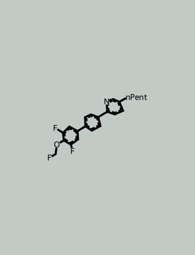 CCCCCc1ccc(-c2ccc(-c3cc(F)c(OCF)c(F)c3)cc2)nc1